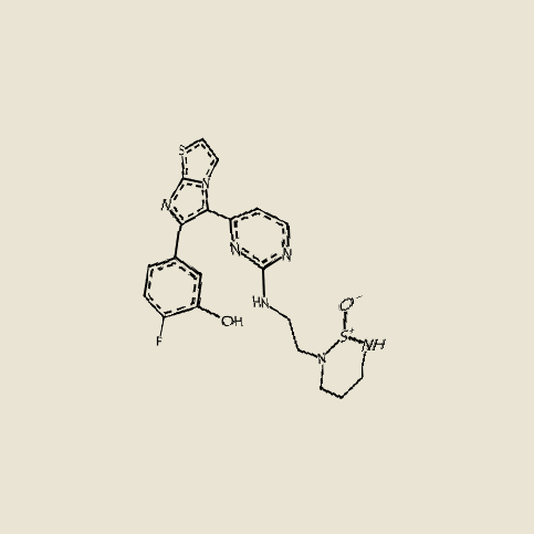 [O-][S+]1NCCCN1CCNc1nccc(-c2c(-c3ccc(F)c(O)c3)nc3sccn23)n1